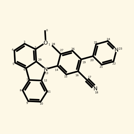 COc1cccc2c3ccccc3n(-c3cc(C#N)c(-c4ccncc4)cc3C)c12